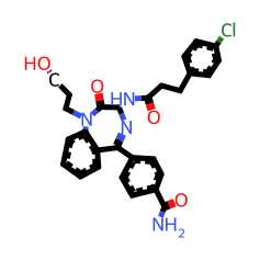 NC(=O)c1ccc(C2=NC(NC(=O)CCc3ccc(Cl)cc3)C(=O)N(CCCO)c3ccccc32)cc1